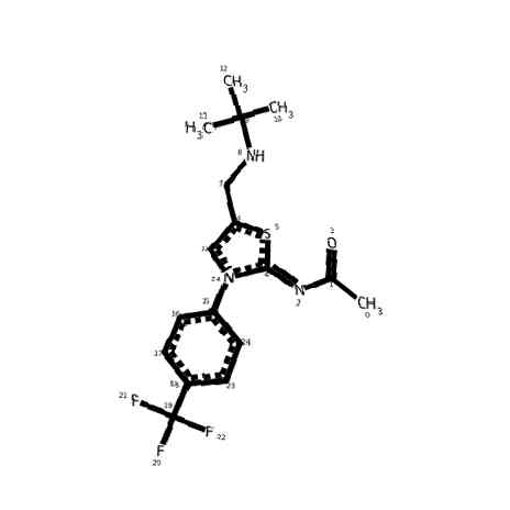 CC(=O)/N=c1\sc(CNC(C)(C)C)cn1-c1ccc(C(F)(F)F)cc1